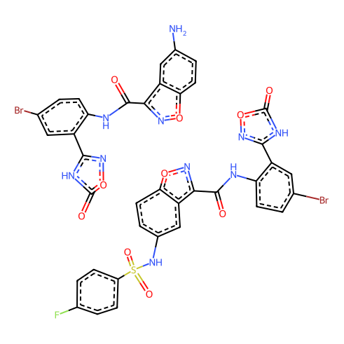 Nc1ccc2onc(C(=O)Nc3ccc(Br)cc3-c3noc(=O)[nH]3)c2c1.O=C(Nc1ccc(Br)cc1-c1noc(=O)[nH]1)c1noc2ccc(NS(=O)(=O)c3ccc(F)cc3)cc12